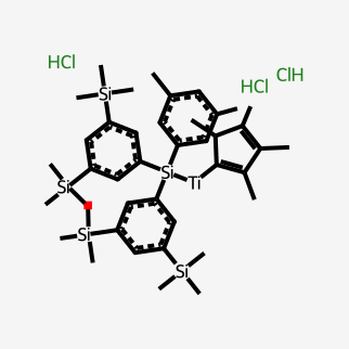 CC1=C(C)C(C)[C]([Ti][Si](c2cc(C)cc(C)c2)(c2cc([Si](C)(C)C)cc([Si](C)(C)C)c2)c2cc([Si](C)(C)C)cc([Si](C)(C)C)c2)=C1C.Cl.Cl.Cl